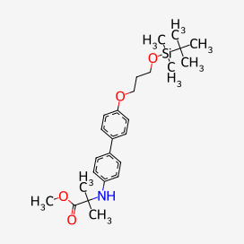 COC(=O)C(C)(C)Nc1ccc(-c2ccc(OCCCO[Si](C)(C)C(C)(C)C)cc2)cc1